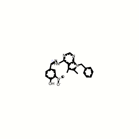 Cc1c(C)n(Cc2ccccc2)c2ncnc(N/N=C\c3ccc(O)c([N+](=O)[O-])c3)c12